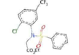 CCOC(=O)CN(c1cc(C(F)(F)F)ccc1Cl)S(=O)(=O)c1ccccc1